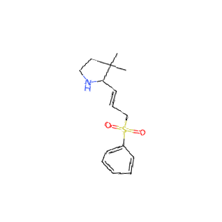 CC1(C)CCNC1/C=C/CS(=O)(=O)c1ccccc1